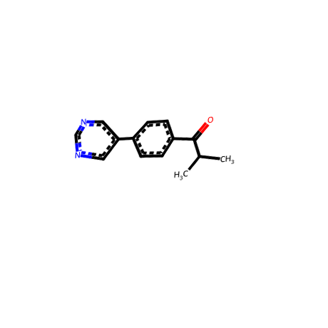 CC(C)C(=O)c1ccc(-c2cncnc2)cc1